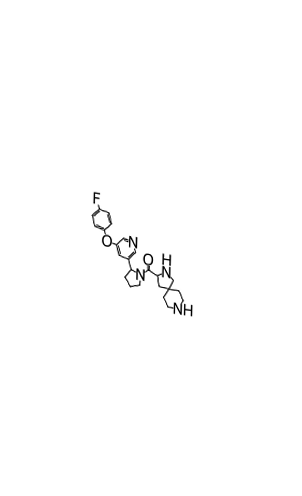 O=C(C1CC2(CCNCC2)CN1)N1CCCC1c1cncc(Oc2ccc(F)cc2)c1